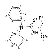 CC(=O)OCCF.S=C(S)N(c1ccccc1)c1ccccc1